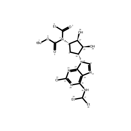 CCC(=O)N(C(=O)OC(C)(C)C)[C@H]1C[C@@H](n2cnc3c(NC(CC)CC)nc(Cl)nc32)[C@H](O)[C@@H]1O